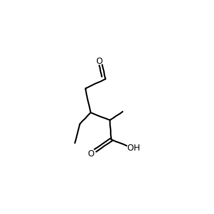 CCC(CC=O)C(C)C(=O)O